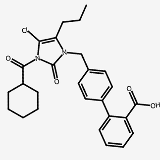 CCCc1c(Cl)n(C(=O)C2CCCCC2)c(=O)n1Cc1ccc(-c2ccccc2C(=O)O)cc1